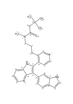 CN(CCOc1cnccc1-c1[nH]c2cccnc2c1-c1ccc2cc[nH]c2c1)C(=O)OC(C)(C)C